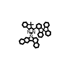 CC1(C)c2ccccc2-c2nc(-n3c4cc5ccccc5cc4c4c5ccccc5ccc43)nc(-c3cccc4c3-c3ccccc3C43c4ccccc4-c4ccccc43)c21